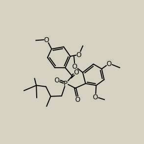 COc1ccc(C(=O)P(=O)(CC(C)CC(C)(C)C)C(=O)c2c(OC)cc(OC)cc2OC)c(OC)c1